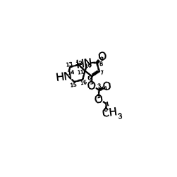 CCOC(=O)OC1=CC(=O)NC12CCNCC2